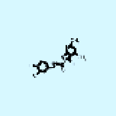 Cc1cc(C)c2c(=O)n(C(=O)NCc3ccc(Cl)c(Cl)c3)sc2n1